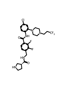 O=C(Nc1ccc(Cl)cc1N1CCN(CCC(F)(F)F)CC1)c1ccc(CNC(=O)[C@H]2CCNC2)c(F)c1F